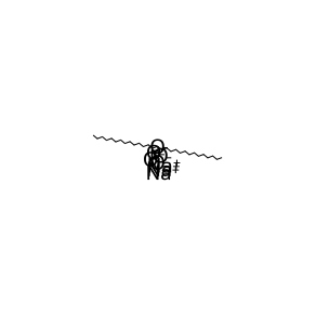 CCCCCCCCCCCCCCOCCCCCCCCCCCCCC.O=P([O-])([O-])[O-].[Na+].[Na+].[Na+]